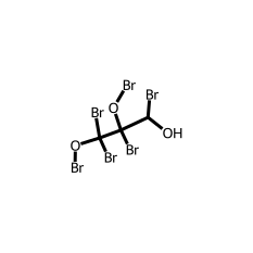 OC(Br)C(Br)(OBr)C(Br)(Br)OBr